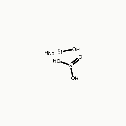 CCO.O=S(O)O.[NaH]